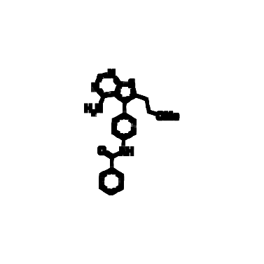 COCCc1sc2ncnc(N)c2c1-c1ccc(NC(=O)c2ccccc2)cc1